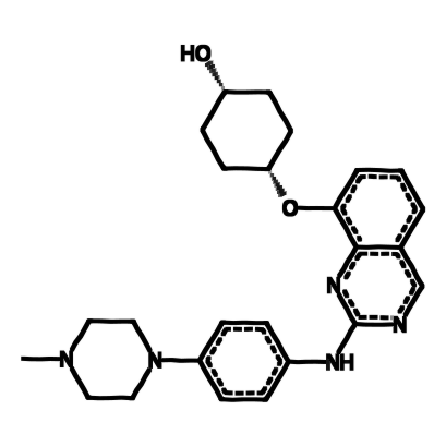 CN1CCN(c2ccc(Nc3ncc4cccc(O[C@H]5CC[C@@H](O)CC5)c4n3)cc2)CC1